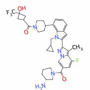 Cc1c(-c2cc3cccc(C4CCN(C(=O)C5CC(O)(C(F)(F)F)C5)CC4)c3n2CC2CC2)nn2cc(C(=O)N3CCC[C@@H](N)C3)cc(F)c12